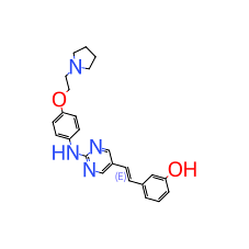 Oc1cccc(/C=C/c2cnc(Nc3ccc(OCCN4CCCC4)cc3)nc2)c1